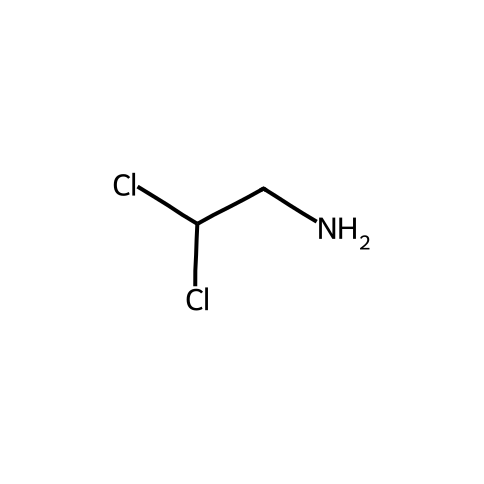 NCC(Cl)Cl